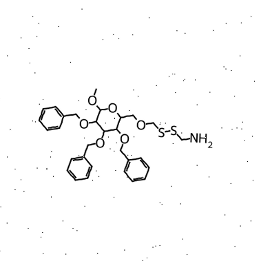 COC1OC(COCSSCN)C(OCc2ccccc2)C(OCc2ccccc2)C1OCc1ccccc1